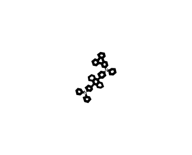 c1ccc(N(c2ccccc2)c2ccc(-c3c4c(c(-c5ccc(N(c6ccccc6)c6ccc7c8ccccc8c8ccccc8c7c6)cc5)c5c3CCCC5)CCCC4)cc2)cc1